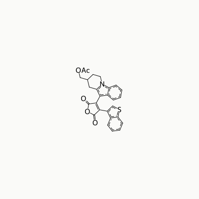 CC(=O)OCC1CCn2c(c(C3=C(c4csc5ccccc45)C(=O)OC3=O)c3ccccc32)C1